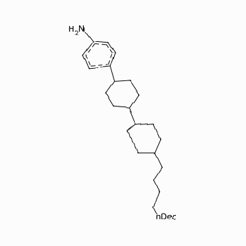 CCCCCCCCCCCCCCC1CCC(C2CCC(c3ccc(N)cc3)CC2)CC1